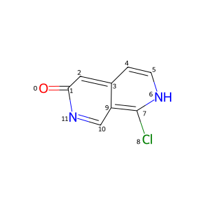 O=c1cc2cc[nH]c(Cl)c-2cn1